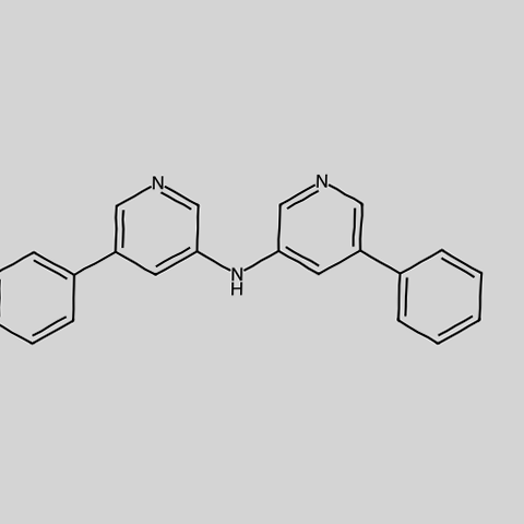 c1ccc(-c2cncc(Nc3cncc(-c4ccccc4)c3)c2)cc1